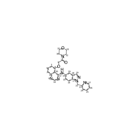 O=C(COc1cccc2ncnc(Nc3ccc4c(cnn4Cc4ccccn4)c3)c12)N1CCOCC1